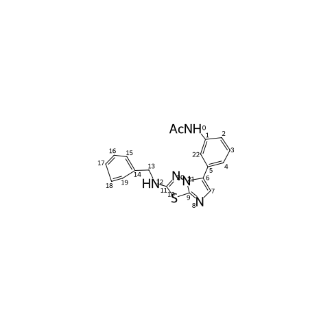 CC(=O)Nc1cccc(-c2cnc3sc(NCc4ccccc4)nn23)c1